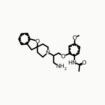 COc1ccc(NC(C)=O)c(OCC(CN)N2CCC3(CC2)Cc2ccccc2O3)c1